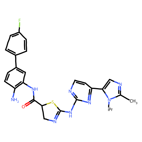 Cc1ncc(-c2ccnc(NC3=NCC(C(=O)Nc4cc(-c5ccc(F)cc5)ccc4N)S3)n2)n1C(C)C